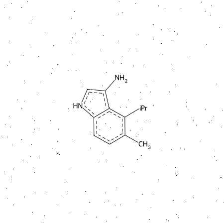 Cc1ccc2[nH]cc(N)c2c1C(C)C